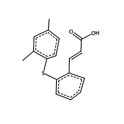 Cc1ccc(Sc2ccccc2C=CC(=O)O)c(C)c1